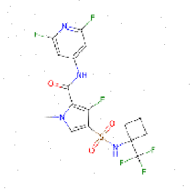 Cn1cc(S(=O)(=O)NC2(C(F)(F)F)CCC2)c(F)c1C(=O)Nc1cc(F)nc(F)c1